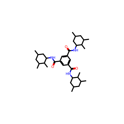 CC1CC(C)C(C)C(NC(=O)c2cc(C(=O)NC3CC(C)CC(C)C3C)cc(C(=O)NC3CC(C)CC(C)C3C)c2)C1